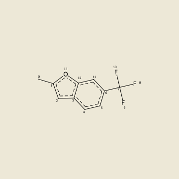 Cc1cc2ccc(C(F)(F)F)cc2o1